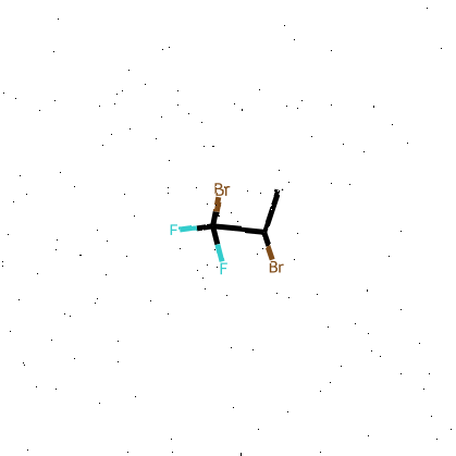 [CH2]C(Br)C(F)(F)Br